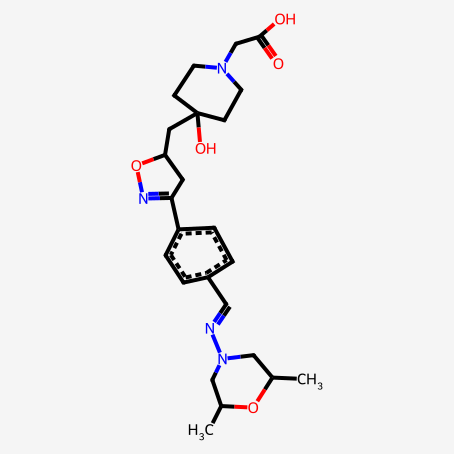 CC1CN(N=Cc2ccc(C3=NOC(CC4(O)CCN(CC(=O)O)CC4)C3)cc2)CC(C)O1